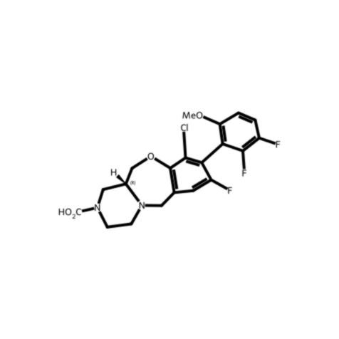 COc1ccc(F)c(F)c1-c1c(F)cc2c(c1Cl)OC[C@H]1CN(C(=O)O)CCN1C2